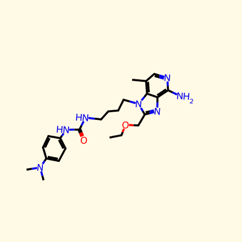 CCOCc1nc2c(N)ncc(C)c2n1CCCCNC(=O)Nc1ccc(N(C)C)cc1